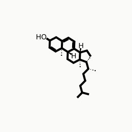 CC(C)CCC[C@@H](C)[C@H]1CC[C@H]2C3=CC=C4CC(O)C=C[C@]4(C)[C@H]3CC[C@]12C